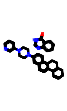 C1=CC2=C(CC1)CCc1c2ccc2cc(N3CCN(c4cccnc4)CC3)ccc12.O=c1[nH]cnc2ccccc12